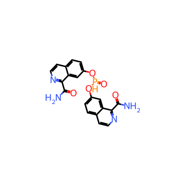 NC(=O)c1nccc2ccc(O[PH](=O)Oc3ccc4ccnc(C(N)=O)c4c3)cc12